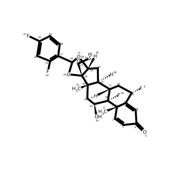 C[C@]12C=CC(=O)C=C1[C@@H](F)C[C@H]1[C@@H]3C[C@H]4OC(c5ccc(F)cc5F)O[C@@]4(C(=O)S)[C@@]3(C)C[C@H](O)[C@@]12F